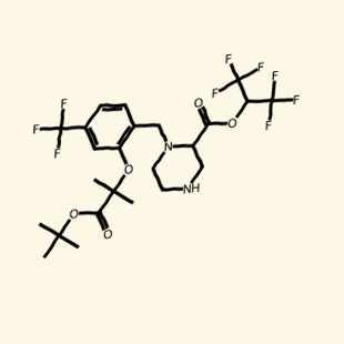 CC(C)(C)OC(=O)C(C)(C)Oc1cc(C(F)(F)F)ccc1CN1CCNCC1C(=O)OC(C(F)(F)F)C(F)(F)F